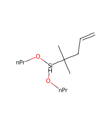 C=CCC(C)(C)[SiH](OCCC)OCCC